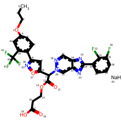 CCCOc1ccc(-c2cc(C(C(=O)OCCC(=O)O)n3cc4nc(-c5cccc(F)c5F)nc-4cn3)on2)c(C(F)(F)F)c1.[NaH]